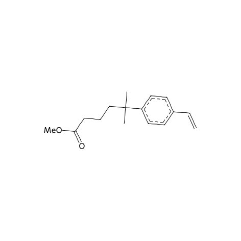 C=Cc1ccc(C(C)(C)CCCC(=O)OC)cc1